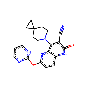 N#Cc1c(N2CCC3(CC2)CC3)c2nc(Oc3ncccn3)ccc2[nH]c1=O